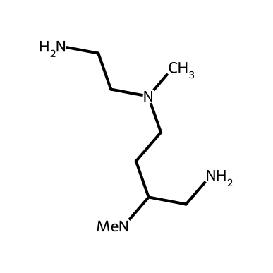 CNC(CN)CCN(C)CCN